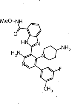 CONC(=O)c1cccc2nc(-c3c(N)ncc(-c4cc(C)cc(F)c4)c3N3CCC(N)CC3)[nH]c12